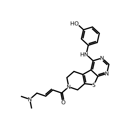 CN(C)C/C=C/C(=O)N1CCc2c(sc3ncnc(Nc4cccc(O)c4)c23)C1